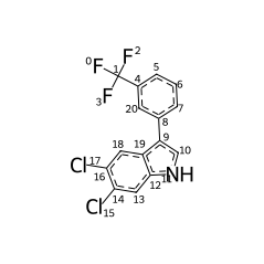 FC(F)(F)c1cccc(-c2c[nH]c3cc(Cl)c(Cl)cc23)c1